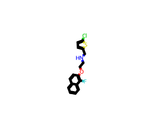 Fc1c(OCCNCc2ccc(Cl)s2)ccc2ccccc12